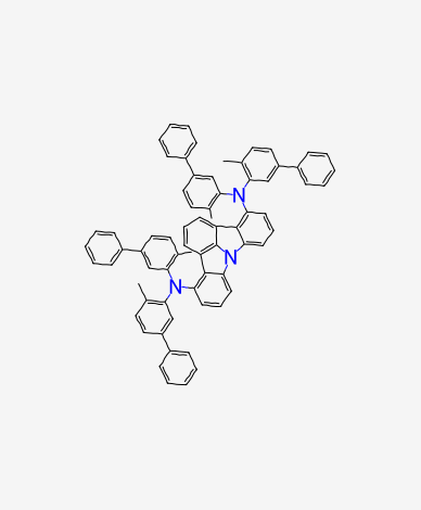 Cc1ccc(-c2ccccc2)cc1N(c1cc(-c2ccccc2)ccc1C)c1cccc2c1c1cccc3c4c(N(c5cc(-c6ccccc6)ccc5C)c5cc(-c6ccccc6)ccc5C)cccc4n2c13